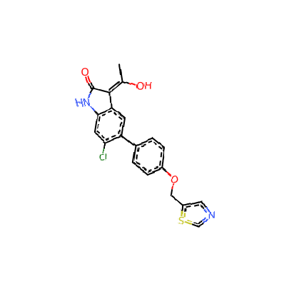 C/C(O)=C1\C(=O)Nc2cc(Cl)c(-c3ccc(OCc4cncs4)cc3)cc21